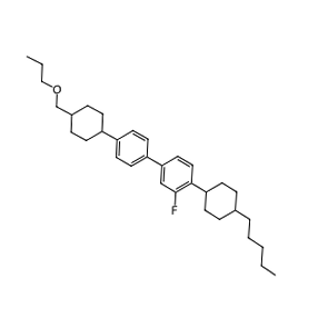 CCCCCC1CCC(c2ccc(-c3ccc(C4CCC(COCCC)CC4)cc3)cc2F)CC1